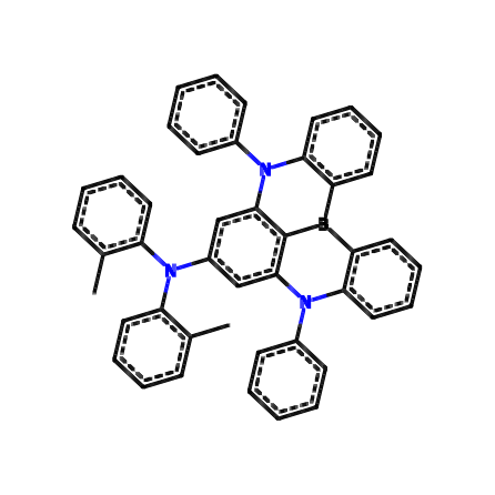 Cc1ccccc1N(c1cc2c3c(c1)N(c1ccccc1)c1ccccc1B3c1ccccc1N2c1ccccc1)c1ccccc1C